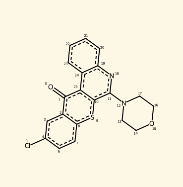 O=c1c2cc(Cl)ccc2sc2c(N3CCOCC3)nc3ccccc3c12